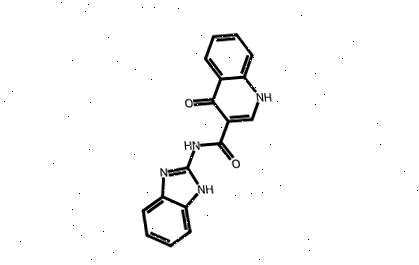 O=C(Nc1nc2ccccc2[nH]1)c1c[nH]c2ccccc2c1=O